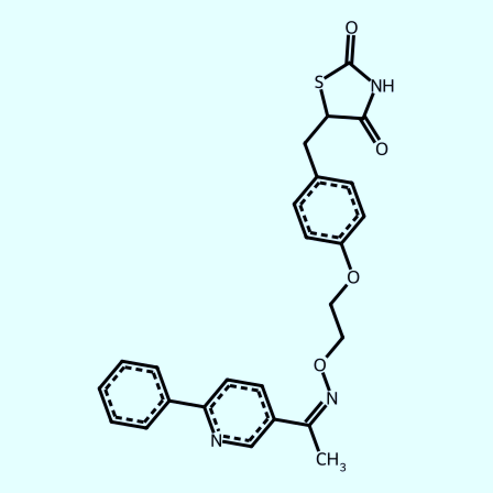 C/C(=N/OCCOc1ccc(CC2SC(=O)NC2=O)cc1)c1ccc(-c2ccccc2)nc1